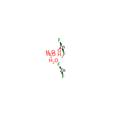 O.O.O.O.[F][Zn][F].[F][Zn][F]